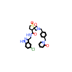 O=C(NCc1n[nH]c2ccc(Cl)cc12)C1CCS(=O)(=O)C12CN(Cc1ccc(Cn3ccccc3=O)cc1)C2